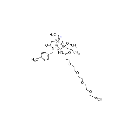 C#CCOCCOCCOCCOCCC(=O)N[C@H]([C@H]1[C@H](/C=C\C)CC(=O)N1Cc1ccc(C)cc1)[C@](C)(CCC)OC